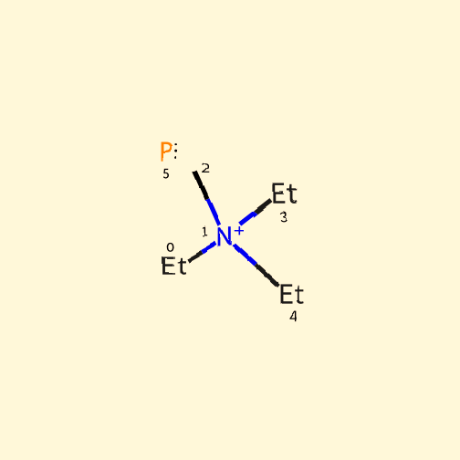 CC[N+](C)(CC)CC.[P]